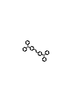 C(=C\c1ccc(N(c2ccccc2)c2ccccc2)cc1)/c1ccc(N(c2ccccc2)c2ccccc2)cc1